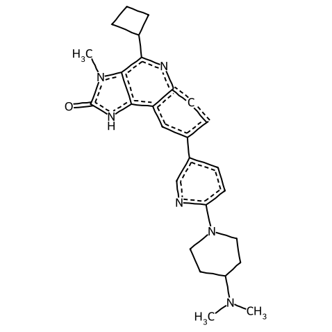 CN(C)C1CCN(c2ccc(-c3ccc4nc(C5CCC5)c5c([nH]c(=O)n5C)c4c3)cn2)CC1